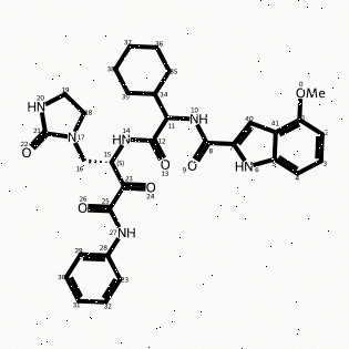 COc1cccc2[nH]c(C(=O)NC(C(=O)N[C@@H](CN3CCNC3=O)C(=O)C(=O)Nc3ccccc3)C3CCCCC3)cc12